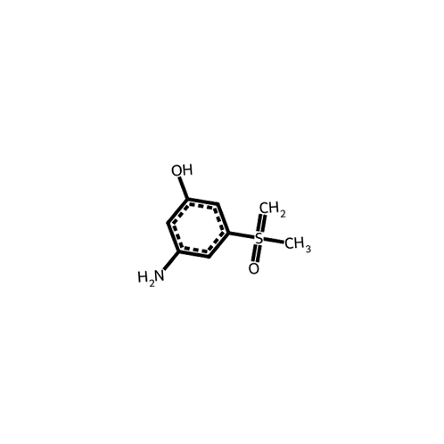 C=S(C)(=O)c1cc(N)cc(O)c1